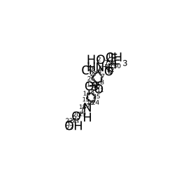 CC(O)(C(=O)Nc1ccc(S(=O)(=O)c2ccc(NCCOCCO)cc2)cc1Cl)C(F)(F)F